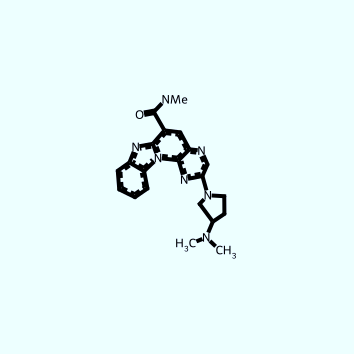 CNC(=O)c1cc2ncc(N3CCC(N(C)C)C3)nc2n2c1nc1ccccc12